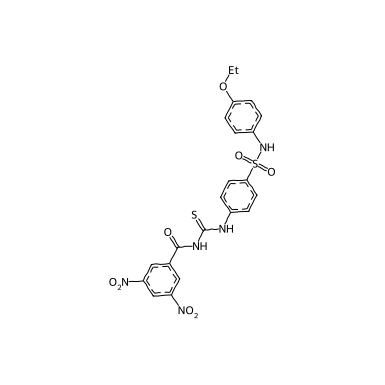 CCOc1ccc(NS(=O)(=O)c2ccc(NC(=S)NC(=O)c3cc([N+](=O)[O-])cc([N+](=O)[O-])c3)cc2)cc1